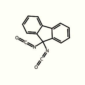 O=C=NC1(N=C=O)c2ccccc2-c2ccccc21